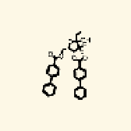 CCC1(O)O[C@H](COC(=O)c2ccc(-c3ccccc3)cc2)[C@@H](OC(=O)c2ccc(-c3ccccc3)cc2)C1(F)F